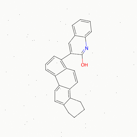 Oc1nc2ccccc2cc1-c1cccc2c1ccc1c3c(ccc12)CCCC3